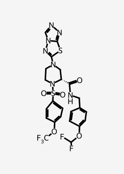 O=C(NCc1ccc(OC(F)F)cc1)[C@H]1CN(c2nn3cnnc3s2)CCN1S(=O)(=O)c1ccc(OC(F)(F)F)cc1